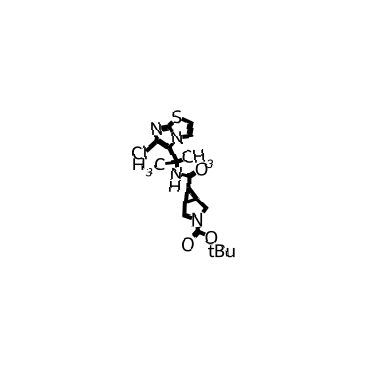 CC(C)(C)OC(=O)N1CC2C(C1)C2C(=O)NC(C)(C)c1c(Cl)nc2sccn12